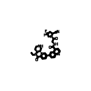 CCN(C(=O)c1ccc(-c2ccc3nccc(C(=O)NCC(=O)N4CC(F)(F)CC4C#N)c3c2)cn1)N1CCNCC1